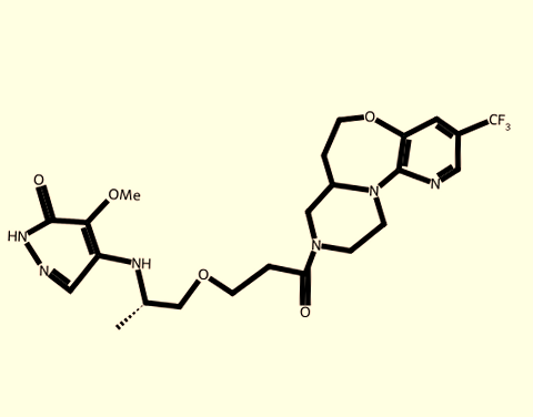 COc1c(N[C@@H](C)COCCC(=O)N2CCN3c4ncc(C(F)(F)F)cc4OCCC3C2)cn[nH]c1=O